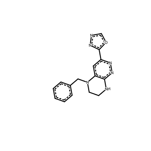 c1ccc(CN2CCNc3nnc(-c4nnco4)cc32)cc1